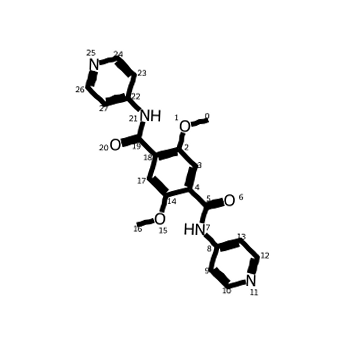 COc1cc(C(=O)Nc2ccncc2)c(OC)cc1C(=O)Nc1ccncc1